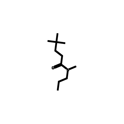 CCCN(C)C(=O)CCC(C)(C)C